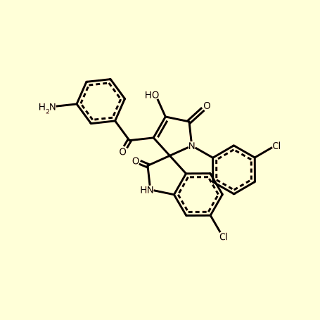 Nc1cccc(C(=O)C2=C(O)C(=O)N(c3cccc(Cl)c3)C23C(=O)Nc2cc(Cl)ccc23)c1